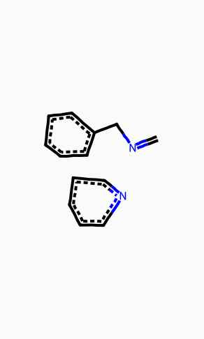 C=NCc1ccccc1.c1ccncc1